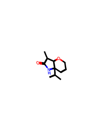 CC1C(=O)NC2(C(C)C)CCCOC12